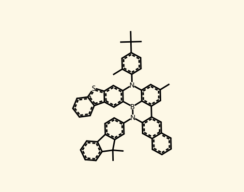 Cc1cc2c3c(c1)N(c1ccc(C(C)(C)C)cc1C)c1cc4sc5ccccc5c4cc1B3N(c1ccc3c(c1)C(C)(C)c1ccccc1-3)c1cc3ccccc3cc1-2